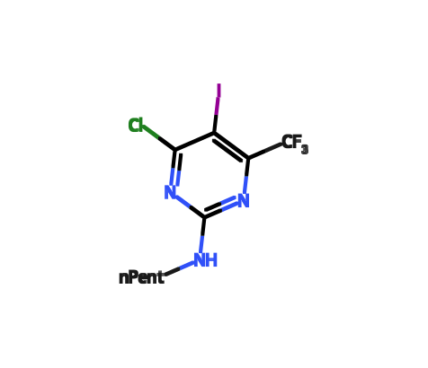 CCCCCNc1nc(Cl)c(I)c(C(F)(F)F)n1